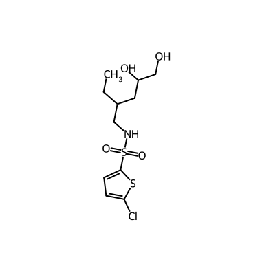 CCC(CNS(=O)(=O)c1ccc(Cl)s1)CC(O)CO